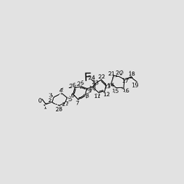 CC[C@H]1CC[C@H](c2ccc(-c3ccc([C@H]4CC[C@H](CC)CC4)cc3F)cc2)CC1